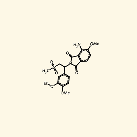 CCOc1cc(C(CS(C)(=O)=O)N2C(=O)c3ccc(OC)c(N)c3C2=O)ccc1OC